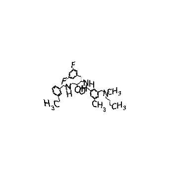 CCCCN(C)Cc1cc(C)cc(C(=O)N[C@@H](Cc2cc(F)cc(F)c2)[C@@H](O)CNCc2cccc(CC)c2)c1